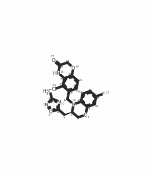 Cc1noc(C[C@@H]2COc3cc(F)ccc3N2Cc2ccc3c(c2Cl)NC(=O)CO3)n1